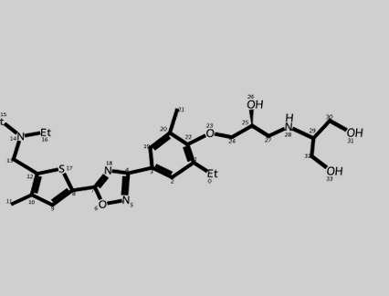 CCc1cc(-c2noc(-c3cc(C)c(CN(CC)CC)s3)n2)cc(C)c1OC[C@@H](O)CNC(CO)CO